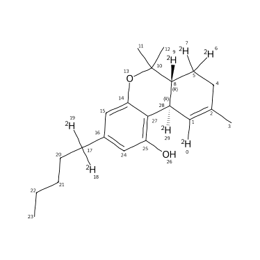 [2H]C1=C(C)CC([2H])([2H])[C@@]2([2H])C(C)(C)Oc3cc(C([2H])([2H])CCCC)cc(O)c3[C@]12[2H]